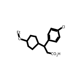 CCOC1CCC(C(CC(=O)O)c2ccc(Cl)cc2)CC1